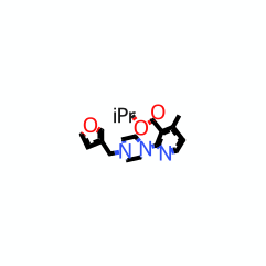 Cc1ccnc(N2CCN(Cc3ccoc3)CC2)c1C(=O)OC(C)C